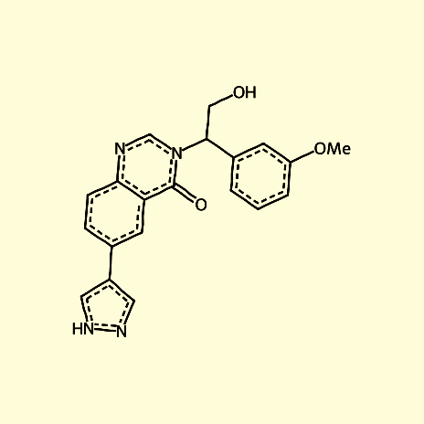 COc1cccc(C(CO)n2cnc3ccc(-c4cn[nH]c4)cc3c2=O)c1